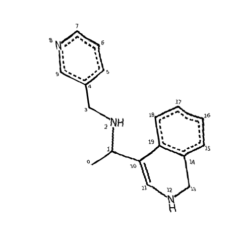 CC(NCc1cccnc1)C1=CNCc2ccccc21